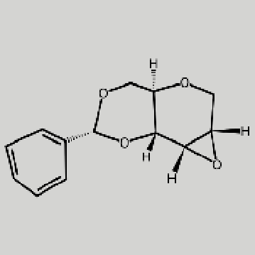 c1ccc([C@@H]2OC[C@H]3OC[C@@H]4O[C@@H]4[C@@H]3O2)cc1